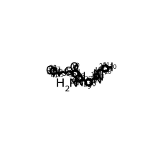 COc1cc2nc(-c3cccc(-c4cn(Cc5ccc(I)cc5)nn4)c3)nc(N)c2cc1OCCCN1CCOCC1